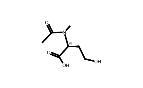 CC(=O)N(C)[C@@H](CCO)C(=O)O